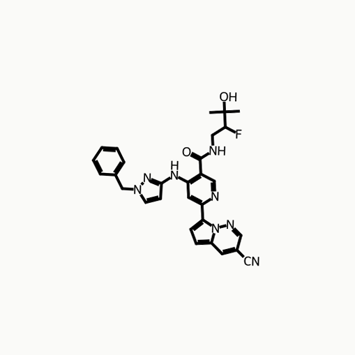 CC(C)(O)C(F)CNC(=O)c1cnc(-c2ccc3cc(C#N)cnn23)cc1Nc1ccn(Cc2ccccc2)n1